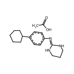 CC(=O)O.c1cc(C2CCCCC2)ccc1N=C1NCCCN1